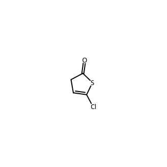 O=C1CC=C(Cl)S1